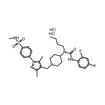 CCCCN(C(=O)Nc1ccc(F)cc1F)C1CCN(Cc2c(C)nn(-c3ccc(S(=O)(=O)NC)cc3)c2C)CC1.Cl.Cl